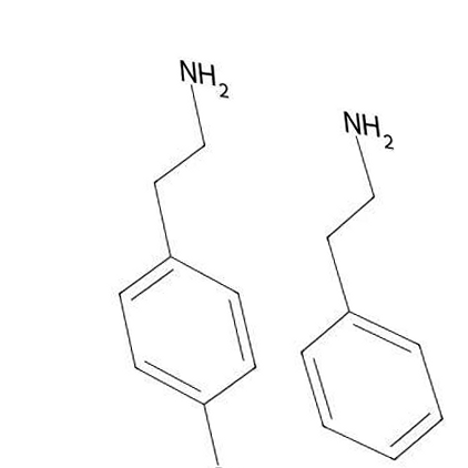 NCCc1ccc(O)cc1.NCCc1ccccc1